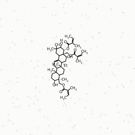 C/C=C(/C)C(=O)OC[C@@]12C(CC(C)(C)[C@@H](O)[C@@H]1OC(=O)/C(C)=C\C)C1=CCC3[C@@]4(C)CC[C@H](O)[C@](C)(COC(=O)/C(C)=C\C)C4CC[C@@]3(C)[C@]1(CC)C[C@H]2O